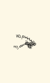 Cc1c(C(C)(C)CCCCCCCC(=O)O)c2c(c3ccccc13)C=c1c(c3c(c4ccccc14)=[N+](CCCCCC(=O)O)CC3(C)C)O2